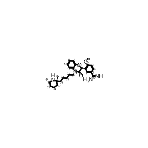 COc1ccc(C(=N)N)cc1[C@H]1Oc2ccccc2N(CCCCC[C@]2(C)CCC[C@H](C)N2)C1=O